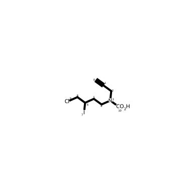 C#CCN(CCC(I)CCl)C(=O)O